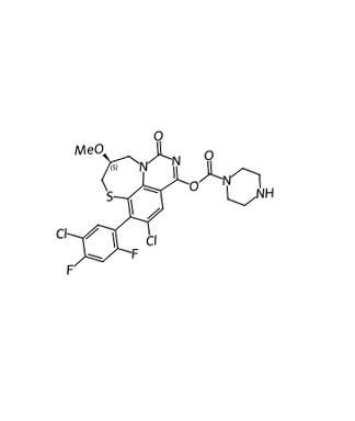 CO[C@@H]1CSc2c(-c3cc(Cl)c(F)cc3F)c(Cl)cc3c(OC(=O)N4CCNCC4)nc(=O)n(c23)C1